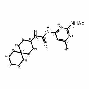 CC(=O)Nc1nc(F)cc(NC(=O)NC2CCC3(CCCCC3)CC2)n1